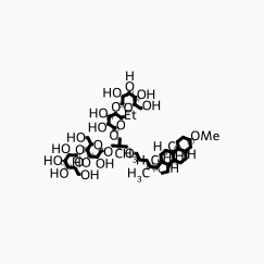 CCC1O[C@@H](OCC(C)(COCCC[C@@H](C)[C@H]2CC[C@H]3[C@@H]4CC[C@@H]5C[C@H](OC)CC[C@]5(C)[C@H]4CC[C@]23C)CO[C@@H]2OC(CO)[C@@H](O[C@H]3OC(CO)[C@@H](O)[C@H](O)C3O)[C@H](O)C2O)C(O)[C@@H](O)C1O[C@@H]1OC(CO)[C@@H](O)[C@H](O)C1O